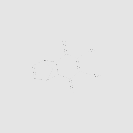 CSC1=C(SC)C(=O)C2C3C=CC(C3)C2C1=O